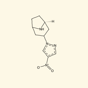 O=[N+]([O-])c1cnn(C2CC3CC[C@@H](C2)N3)c1